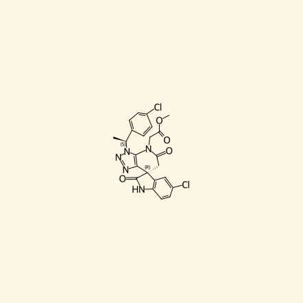 COC(=O)CN1C(=O)C[C@]2(C(=O)Nc3ccc(Cl)cc32)c2nnn([C@@H](C)c3ccc(Cl)cc3)c21